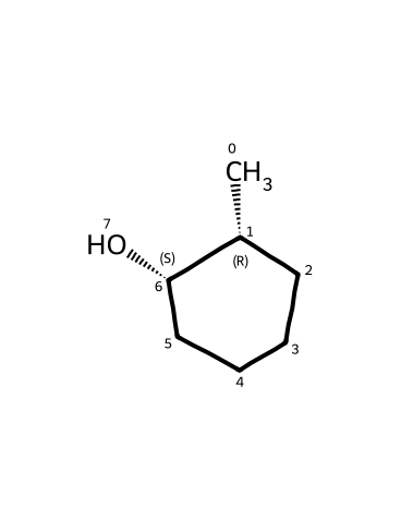 C[C@@H]1CCCC[C@@H]1O